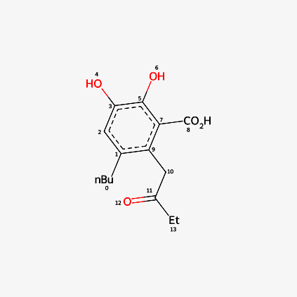 CCCCc1cc(O)c(O)c(C(=O)O)c1CC(=O)CC